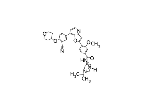 COc1cc(C(=O)N[C@@]23C[C@@H]2CN(C(C)C)C3)ccc1-c1cc2nccc(-c3ccc(OC4CCOCC4)c(C#N)c3)c2o1